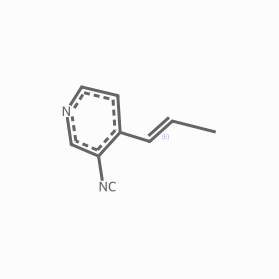 [C-]#[N+]c1cnccc1/C=C/C